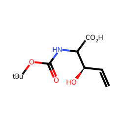 C=C[C@@H](O)C(NC(=O)OC(C)(C)C)C(=O)O